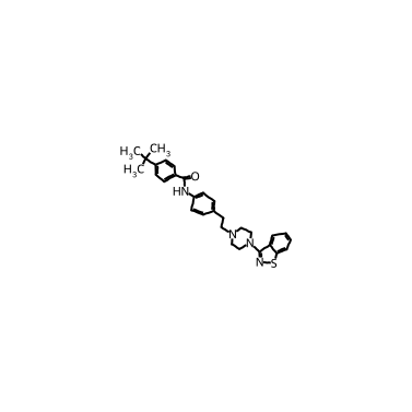 CC(C)(C)c1ccc(C(=O)Nc2ccc(CCN3CCN(c4nsc5ccccc45)CC3)cc2)cc1